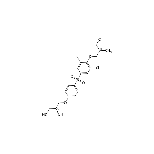 C[C@H](CCl)COc1c(Cl)cc(S(=O)(=O)c2ccc(OC[C@@H](O)CO)cc2)cc1Cl